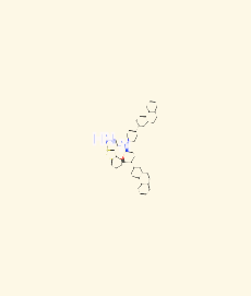 C1=C(N(c2ccc(-c3ccc4c(ccc5ccccc54)c3)cc2)c2ccc(-c3ccc4c(ccc5ccccc54)c3)cc2)c2c(sc3ccccc23)CN1